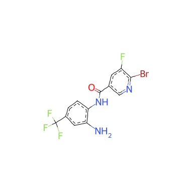 Nc1cc(C(F)(F)F)ccc1NC(=O)c1cnc(Br)c(F)c1